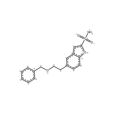 NS(=O)(=O)c1cc2cc(CCOCc3ccccc3)ccc2o1